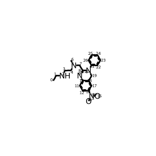 CCNCCN(C)CC1=Nc2ccc([N+](=O)[O-])cc2CN1c1ccccc1